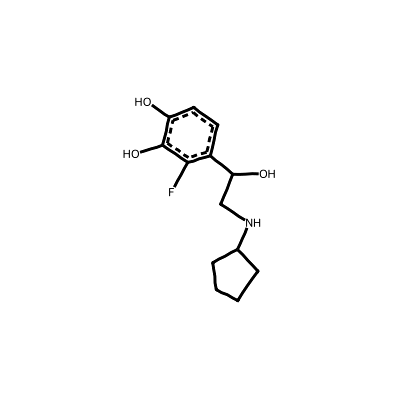 Oc1ccc(C(O)CNC2CCCC2)c(F)c1O